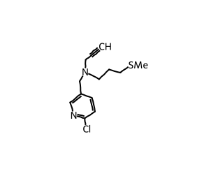 C#CCN(CCCSC)Cc1ccc(Cl)nc1